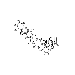 CCNS(=O)(=O)Cc1ccccc1C1(O)CCN(Cc2cccc(Oc3ccccc3)c2)CC1